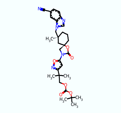 CC(C)(C)OC(=O)OCC(C)(C)c1cc(N2C[C@@]3(CCC[C@](C)(Cn4cnc5ccc(C#N)cc54)C3)OC2=O)on1